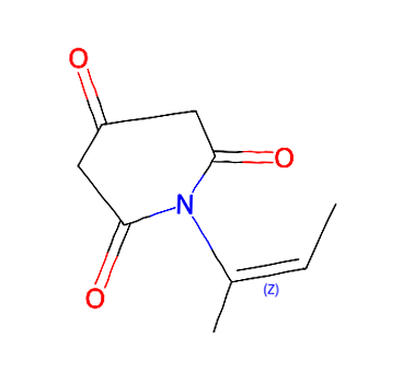 C/C=C(/C)N1C(=O)CC(=O)CC1=O